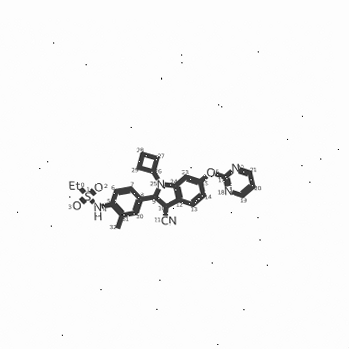 CCS(=O)(=O)Nc1ccc(C2C(C#N)c3ccc(Oc4ncccn4)cc3N2C2CCC2)cc1C